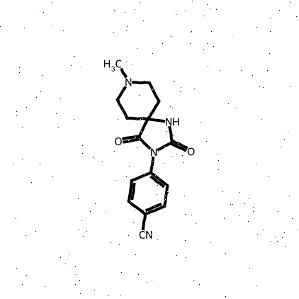 CN1CCC2(CC1)NC(=O)N(c1ccc(C#N)cc1)C2=O